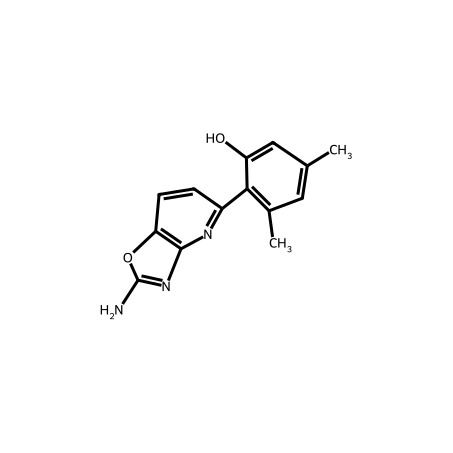 Cc1cc(C)c(-c2ccc3oc(N)nc3n2)c(O)c1